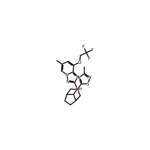 Cc1cc(OCC(F)(F)F)c2nc(NC3C4CCC3CN(c3nc(C)ns3)C4)nn2c1